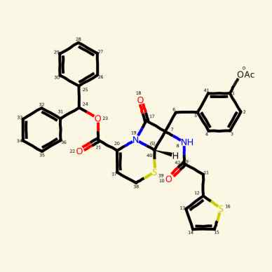 CC(=O)Oc1cccc(CC2(NC(=O)Cc3cccs3)C(=O)N3C(C(=O)OC(c4ccccc4)c4ccccc4)=CCS[C@H]32)c1